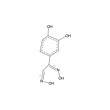 O/N=C\C(=N/O)c1ccc(O)c(O)c1